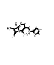 NC1C(=O)N2C(C(=O)O)=C(CSc3cnco3)CS[C@H]12